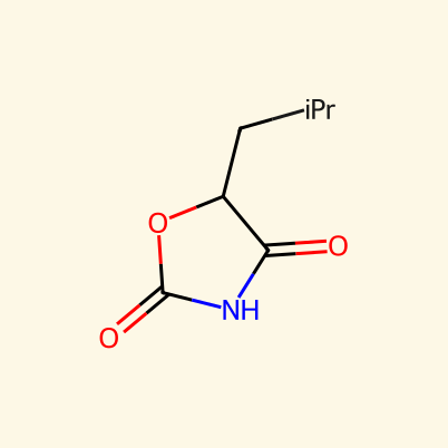 CC(C)CC1OC(=O)NC1=O